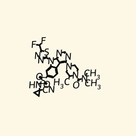 CC1CN(c2ncnc3c2c2ccc(S(=O)(=O)NC4(C#N)CC4)cc2n3-c2nnc(C(F)F)s2)CCN1C(=O)N(C)C